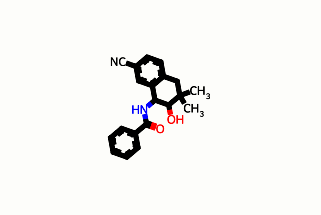 CC1(C)Cc2ccc(C#N)cc2C(NC(=O)c2ccccc2)C1O